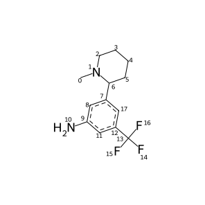 CN1CCCCC1c1cc(N)cc(C(F)(F)F)c1